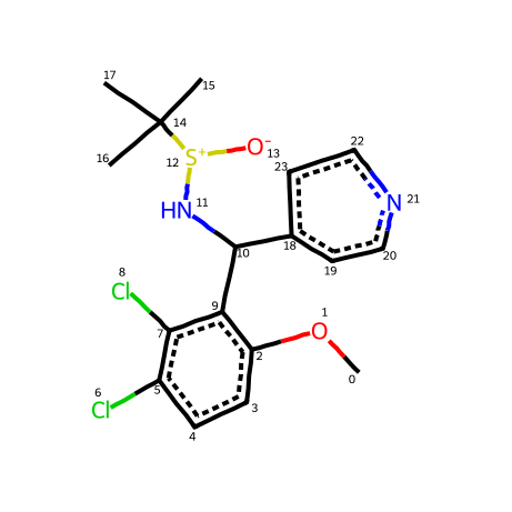 COc1ccc(Cl)c(Cl)c1C(N[S+]([O-])C(C)(C)C)c1ccncc1